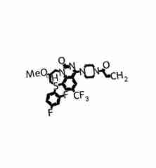 C=CC(=O)N1CCN(c2nc(=O)n3c4c(cc(C(F)(F)F)cc24)[SH](c2ccc(F)cc2F)C[C@@H](OC)C3)CC1